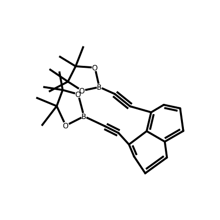 CC1(C)OB(C#Cc2cccc3cccc(C#CB4OC(C)(C)C(C)(C)O4)c23)OC1(C)C